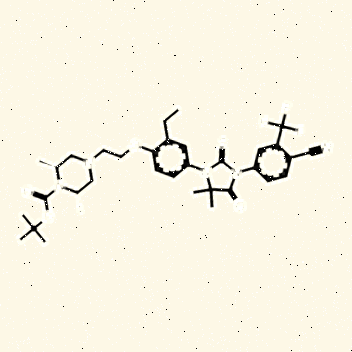 CCc1cc(N2C(=S)N(c3ccc(C#N)c(C(F)(F)F)c3)C(=O)C2(C)C)ccc1OCCN1C[C@H](C)N(C(=O)OC(C)(C)C)[C@@H](C)C1